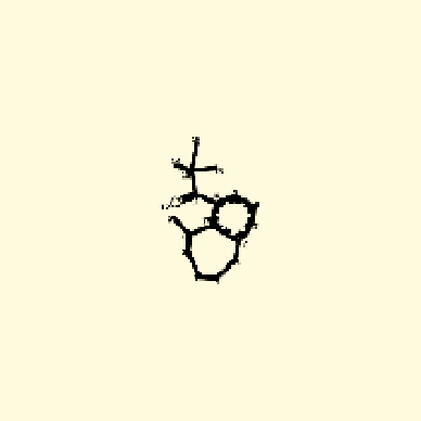 CC1CCCCc2cccc(C(=O)C(C)(C)C)c21